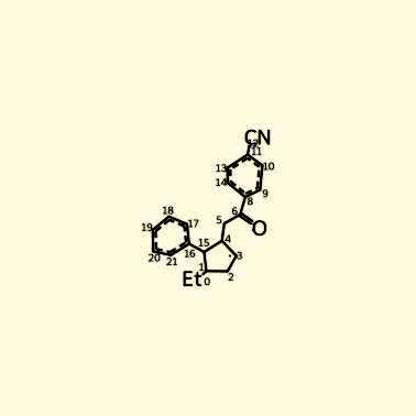 [CH2]CC1C[CH]C(CC(=O)c2ccc(C#N)cc2)C1c1ccccc1